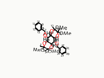 COC1(C)O[C@@H]2[C@@H](OCc3ccccc3)[C@@H]3OC(C)(OC)C(C)(OC)O[C@H]3[C@@H](OCc3ccccc3)[C@H]2OC1(C)OC